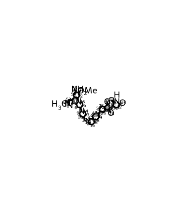 COc1cc(N2CCC(N3CCC(CN4CCCC5(CCN(c6ccc7c(c6)C(=O)N(C6CCC(=O)NC6=O)C7=O)CC5)C4)CC3)CC2)c(-c2cnn(C)c2)cc1N